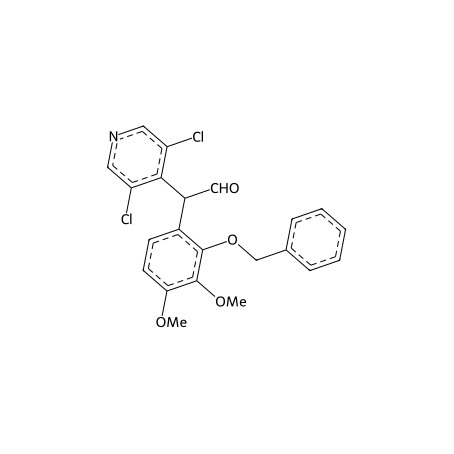 COc1ccc(C(C=O)c2c(Cl)cncc2Cl)c(OCc2ccccc2)c1OC